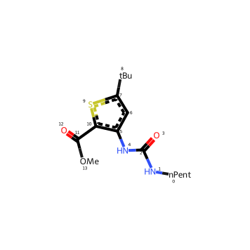 CCCCCNC(=O)Nc1cc(C(C)(C)C)sc1C(=O)OC